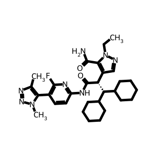 CCn1ncc([C@@H](C(=O)Nc2ccc(-c3c(C)nnn3C)c(F)n2)C(C2CCCCC2)C2CCCCC2)c1C(N)=O